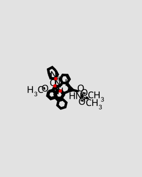 COc1ccc(C2CCCCC2)c2c1cc1n2CC2=C(C(=O)NS(=O)(=O)C(C)C)C2=C2C=CC[C@@H](C(=O)N3C4CCC3CC(NCc3ccccc3)C4)C21